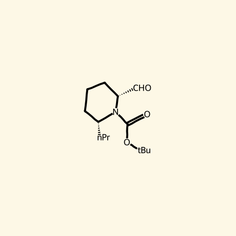 CCC[C@@H]1CCC[C@H](C=O)N1C(=O)OC(C)(C)C